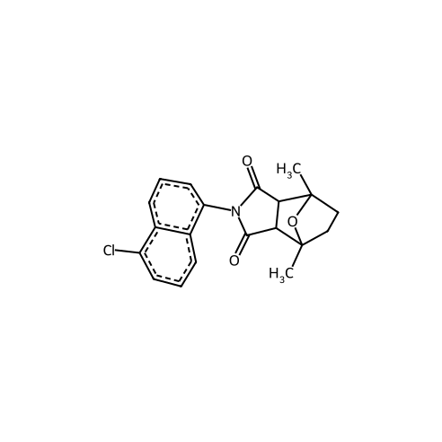 CC12CCC(C)(O1)C1C(=O)N(c3cccc4c(Cl)cccc34)C(=O)C12